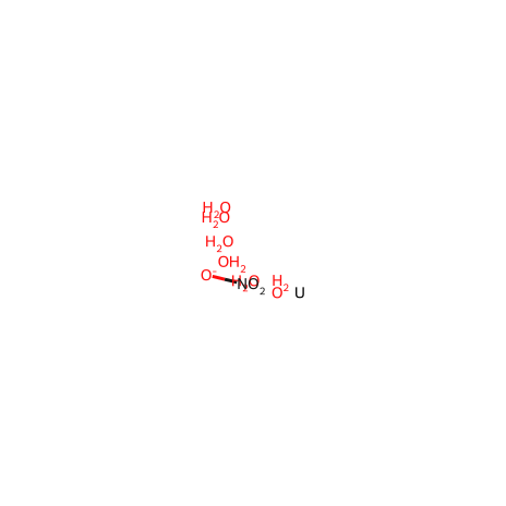 O.O.O.O.O.O.O=[N+]([O-])[O-].[U]